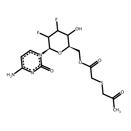 CC(=O)CSCC(=O)OC[C@H]1O[C@@H](n2ccc(N)nc2=O)C(F)C(F)C1O